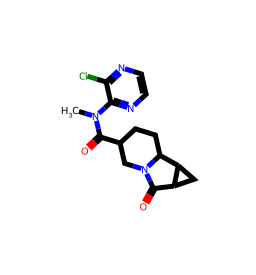 CN(C(=O)C1CCC2C3CC3C(=O)N2C1)c1nccnc1Cl